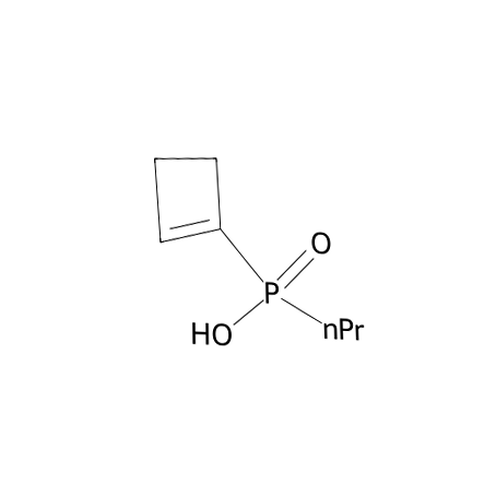 CCCP(=O)(O)C1=CCC1